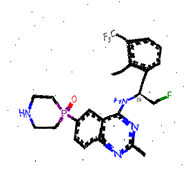 Cc1nc(N[C@H](CF)c2cccc(C(F)(F)F)c2C)c2cc(P3(=O)CCNCC3)ccc2n1